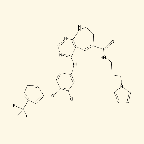 O=C(NCCCn1ccnc1)C1=Cc2c(ncnc2Nc2ccc(Oc3cccc(C(F)(F)F)c3)c(Cl)c2)NCC1